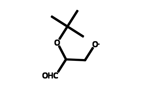 CC(C)(C)OC(C=O)C[O]